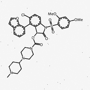 COc1ccc(S(=O)(=O)N2C(=O)C(OC(=O)N3CCN(C4CCN(C)CC4)CC3)c3c2ccc(Cl)c3-c2cccc3ccoc23)c(OC)c1